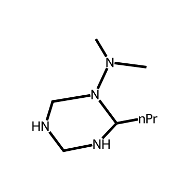 CCCC1NCNCN1N(C)C